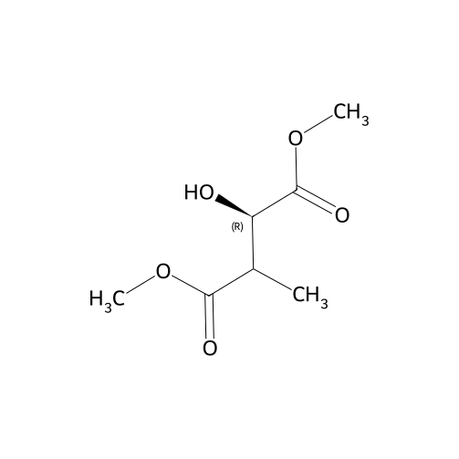 COC(=O)C(C)[C@@H](O)C(=O)OC